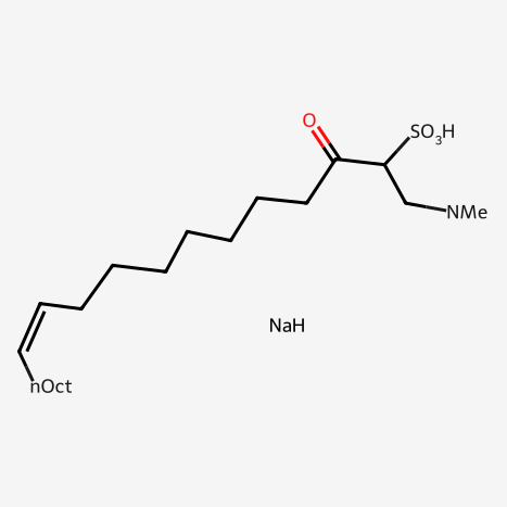 CCCCCCCC/C=C\CCCCCCCC(=O)C(CNC)S(=O)(=O)O.[NaH]